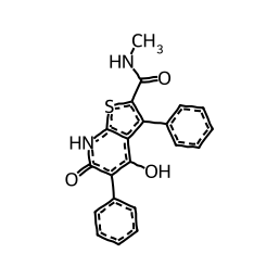 CNC(=O)c1sc2[nH]c(=O)c(-c3ccccc3)c(O)c2c1-c1ccccc1